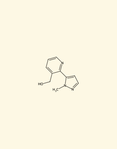 Cn1nccc1-c1ncccc1CO